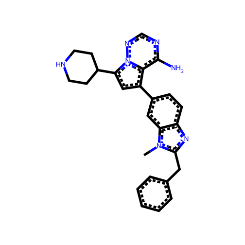 Cn1c(Cc2ccccc2)nc2ccc(-c3cc(C4CCNCC4)n4ncnc(N)c34)cc21